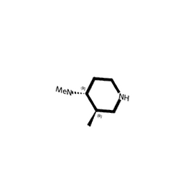 CN[C@@H]1CCNC[C@H]1C